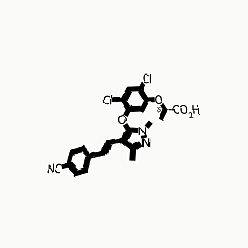 Cc1nn(C)c(Oc2cc(O[C@@H](C)C(=O)O)c(Cl)cc2Cl)c1C=Cc1ccc(C#N)cc1